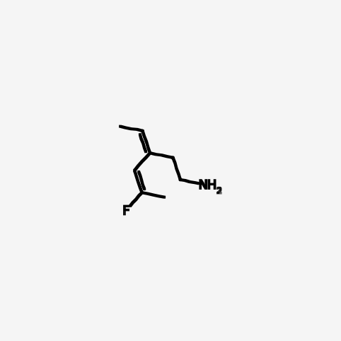 C/C=C(\C=C(/C)F)CCN